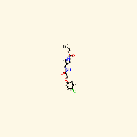 CC(C)(C)COC(=O)N1CC(CNC(=O)COc2ccc(Cl)cc2)C1